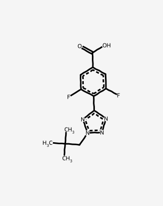 CC(C)(C)Cn1nnc(-c2c(F)cc(C(=O)O)cc2F)n1